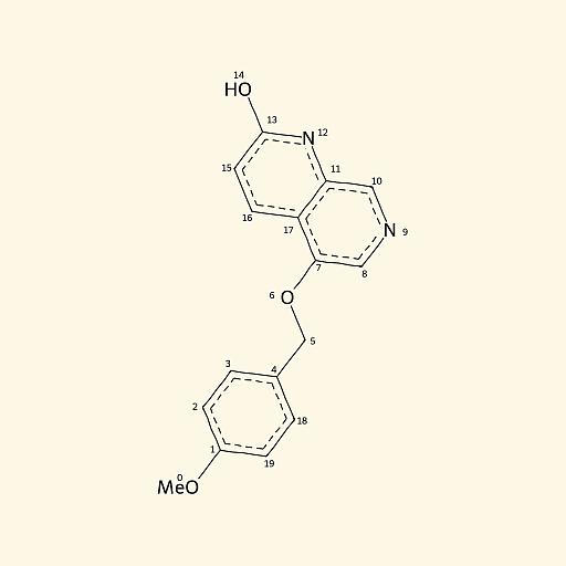 COc1ccc(COc2cncc3nc(O)ccc23)cc1